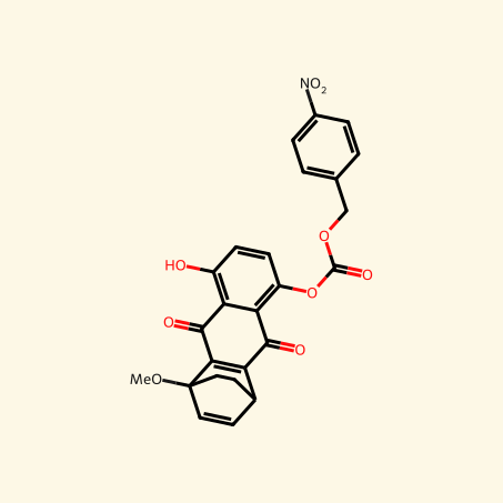 COC12C=CC(CC1)C1=C2C(=O)c2c(O)ccc(OC(=O)OCc3ccc([N+](=O)[O-])cc3)c2C1=O